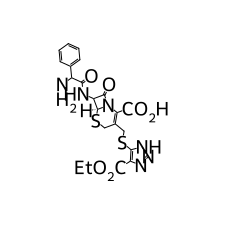 CCOC(=O)c1nn[nH]c1SCC1=C(C(=O)O)N2C(=O)C(NC(=O)C(N)c3ccccc3)[C@@H]2SC1